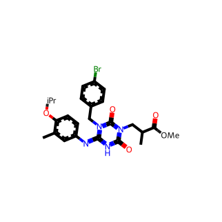 COC(=O)C(C)Cn1c(=O)[nH]c(=Nc2ccc(OC(C)C)c(C)c2)n(Cc2ccc(Br)cc2)c1=O